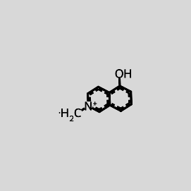 [CH2][n+]1ccc2c(O)cccc2c1